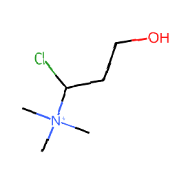 C[N+](C)(C)C(Cl)CCO